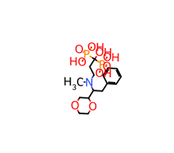 CN(CCC(O)(P(=O)(O)O)P(=O)(O)O)C(Cc1ccccc1)C1COCCO1